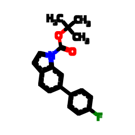 CC(C)(C)OC(=O)n1ccc2ccc(-c3ccc(F)cc3)cc21